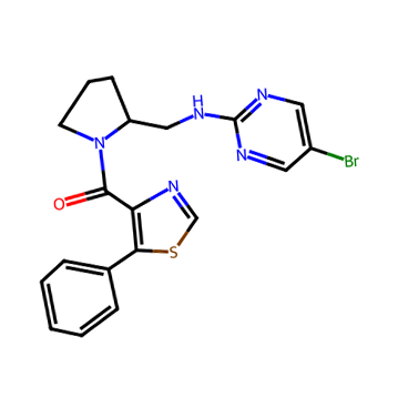 O=C(c1ncsc1-c1ccccc1)N1CCCC1CNc1ncc(Br)cn1